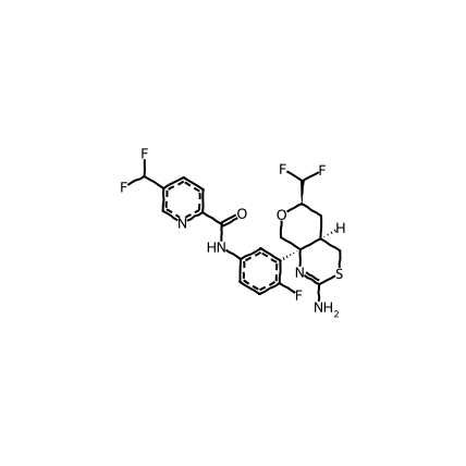 NC1=N[C@@]2(c3cc(NC(=O)c4ccc(C(F)F)cn4)ccc3F)CO[C@@H](C(F)F)C[C@H]2CS1